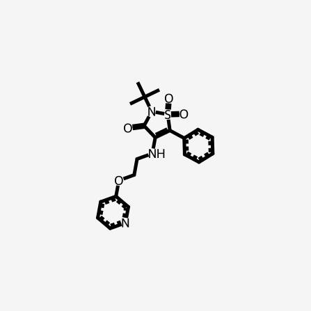 CC(C)(C)N1C(=O)C(NCCOc2cccnc2)=C(c2ccccc2)S1(=O)=O